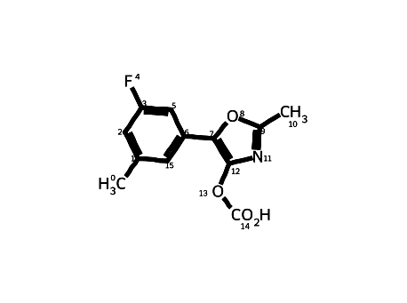 Cc1cc(F)cc(-c2oc(C)nc2OC(=O)O)c1